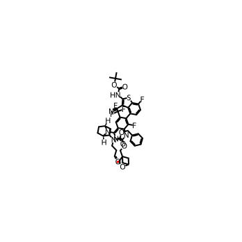 CC(C)(C)OC(=O)Nc1sc2c(F)ccc(-c3c(C(F)(F)F)cc4c(N5[C@@H]6CC[C@H]5C(N(CCC=O)C(=O)OCc5ccccc5)C6)nc(OCC56COC(C5)C6)nc4c3F)c2c1C#N